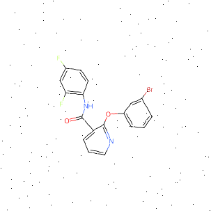 O=C(Nc1ccc(F)cc1F)c1cccnc1Oc1cccc(Br)c1